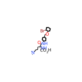 CN(C)CCCC[C@H](NC(=O)O)C(=O)Nc1ccc(COc2ccccc2Br)cc1